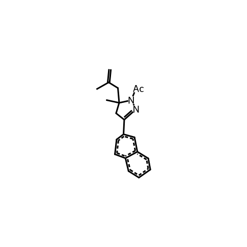 C=C(C)CC1(C)CC(c2ccc3ccccc3c2)=NN1C(C)=O